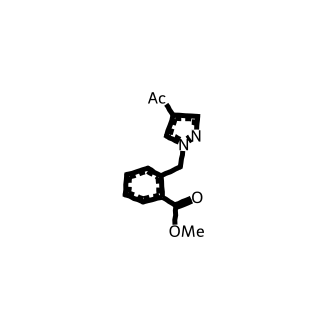 COC(=O)c1ccccc1Cn1cc(C(C)=O)cn1